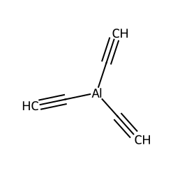 C#[C][Al]([C]#C)[C]#C